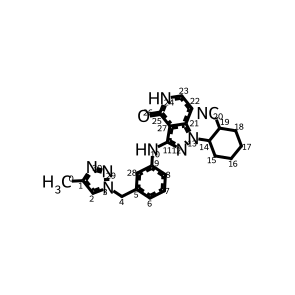 Cc1cn(Cc2cccc(Nc3nn(C4CCCCC4C#N)c4cc[nH]c(=O)c34)c2)nn1